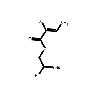 CC=C(C)C(=O)OCC(CC)CCCC